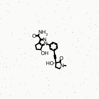 CN1CC[C@@](O)(C#Cc2cccc(-n3nc(C(N)=O)c4c3[C@H](O)CC4)c2)C1=O